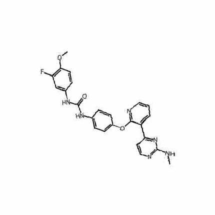 CNc1nccc(-c2cccnc2Oc2ccc(NC(=O)Nc3ccc(OC)c(F)c3)cc2)n1